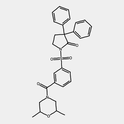 CC1CN(C(=O)c2cccc(S(=O)(=O)N3CCC(c4ccccc4)(c4ccccc4)C3=O)c2)CC(C)O1